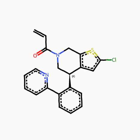 C=CC(=O)N1Cc2sc(Cl)cc2[C@@H](c2ccccc2-c2ccccn2)C1